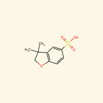 CC1(C)COc2ccc(S(=O)(=O)O)cc21